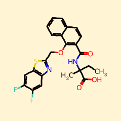 CCC(C)(NC(=O)c1ccc2ccccc2c1OCc1nc2cc(F)c(F)cc2s1)C(=O)O